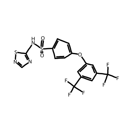 O=S(=O)(Nc1ncns1)c1ccc(Oc2cc(C(F)(F)F)cc(C(F)(F)F)c2)cc1